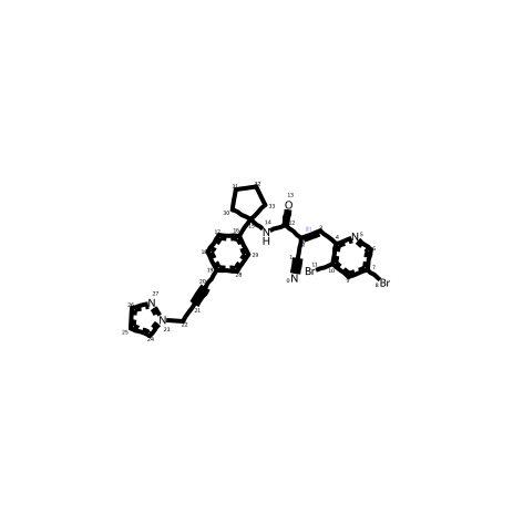 N#C/C(=C\c1ncc(Br)cc1Br)C(=O)NC1(c2ccc(C#CCn3cccn3)cc2)CCCC1